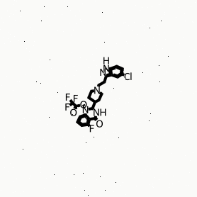 O=C1NC(C2CCN(CCc3n[nH]c4ccc(Cl)cc34)CC2)N(OC(=O)C(F)(F)F)c2cccc(F)c21